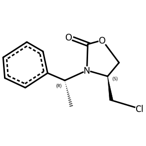 C[C@H](c1ccccc1)N1C(=O)OC[C@H]1CCl